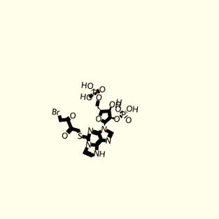 O=C(CBr)C(=O)CSC1N=c2c(ncn2[C@@H]2O[C@H](COP(=O)(O)O)[C@@H](O)[C@H]2OP(=O)(O)O)=C2NC=CN21